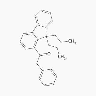 CCCC1(CCC)c2ccccc2-c2cccc(C(=O)Cc3ccccc3)c21